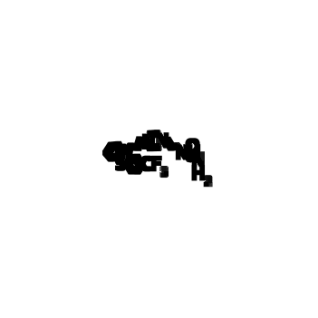 NCC(=O)NCCCN1CCN(CCCN2c3ccccc3Sc3ccc(C(F)(F)F)cc32)CC1